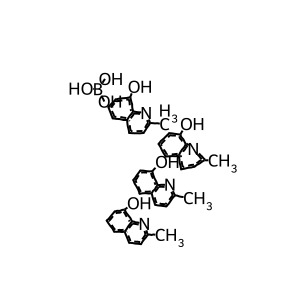 Cc1ccc2cccc(O)c2n1.Cc1ccc2cccc(O)c2n1.Cc1ccc2cccc(O)c2n1.Cc1ccc2cccc(O)c2n1.OB(O)O